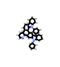 c1ccc(-n2c3ccccc3c3cc4c(cc32)c2ncccc2c2ccc3c5ccccc5n(-c5ccccc5)c3c24)cc1